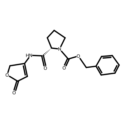 O=C1C=C(NC(=O)[C@@H]2CCCN2C(=O)OCc2ccccc2)CO1